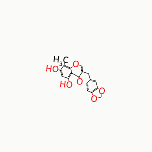 Cc1c(O)cc(O)c2c(=O)c(Cc3ccc4c(c3)OCO4)coc12